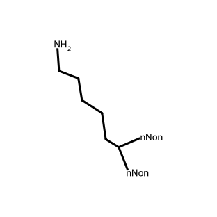 CCCCCCCCCC(CCCCCN)CCCCCCCCC